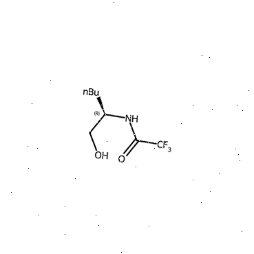 CCCC[C@H](CO)NC(=O)C(F)(F)F